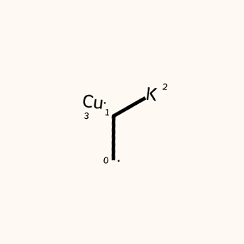 [CH2][CH2][K].[Cu]